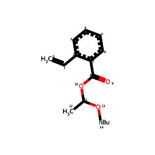 C=Cc1ccccc1C(=O)OC(C)OCCCC